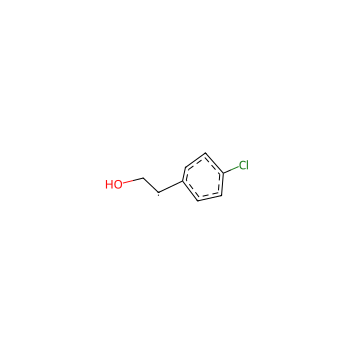 OC[CH]c1ccc(Cl)cc1